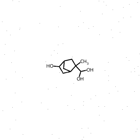 CC1(C(O)O)CC2CC1CC2O